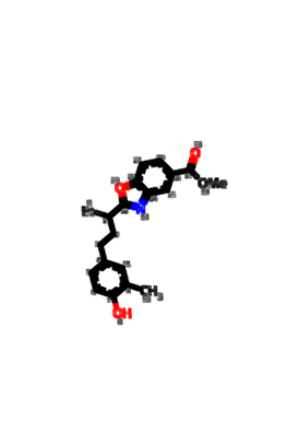 CCC(CCc1ccc(O)c(C)c1)c1nc2cc(C(=O)OC)ccc2o1